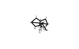 C[C@@H]1C2CC3CC1OC3(C)C2